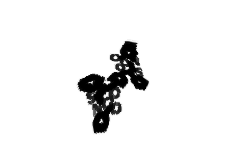 O=C(c1ccc(C(=O)C2c3ccccc3SC2c2nc3ccccc3c(=O)o2)cc1)c1c(-c2nc3ccccc3c(=O)o2)sc2ccccc12